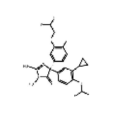 CN1C(=O)[C@](c2ccc(F)c(OCC(F)F)c2)(c2ccc(OC(F)F)c(C3CC3)c2)N=C1N